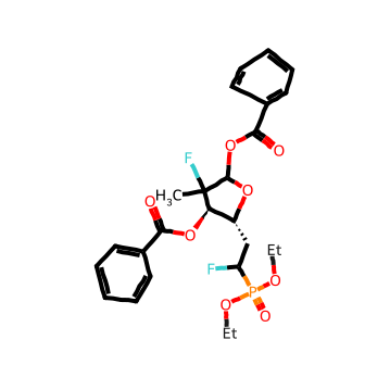 CCOP(=O)(OCC)C(F)C[C@H]1OC(OC(=O)c2ccccc2)C(C)(F)[C@@H]1OC(=O)c1ccccc1